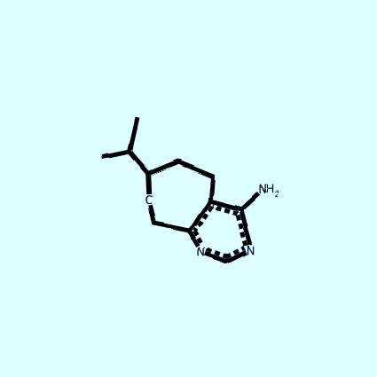 CC(C)C1CCc2ncnc(N)c2CC1